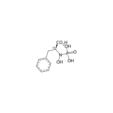 O=C(O)[C@H](Cc1ccccc1)N(O)P(=O)(O)O